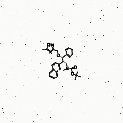 Cc1nc(CO[C@H](c2ccccc2)[C@H](CN(C)C(=O)OC(C)(C)C)c2ccc3ccccc3c2)no1